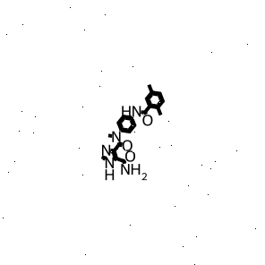 Cc1ccc(C)c(C(=O)Nc2ccc(N(C)C(=O)c3nc[nH]c3C(N)=O)cc2)c1